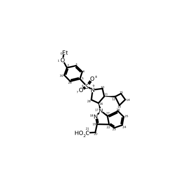 CCOc1ccc(S(=O)(=O)N2C[C@@H](C3CCC3)[C@@H](n3nc(CC(=O)O)c4ccccc43)C2)cc1